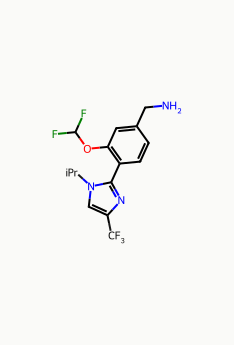 CC(C)n1cc(C(F)(F)F)nc1-c1ccc(CN)cc1OC(F)F